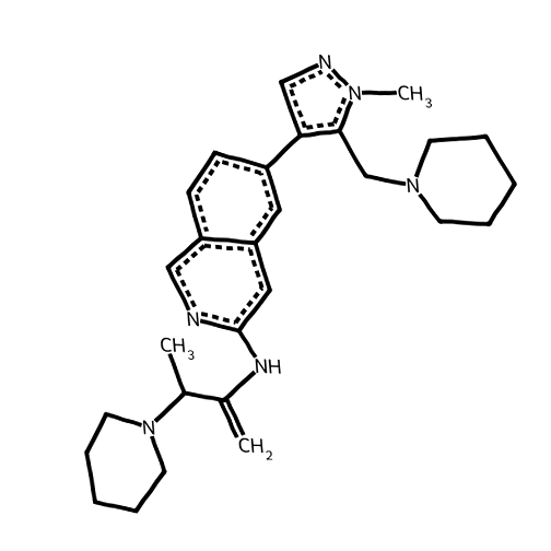 C=C(Nc1cc2cc(-c3cnn(C)c3CN3CCCCC3)ccc2cn1)C(C)N1CCCCC1